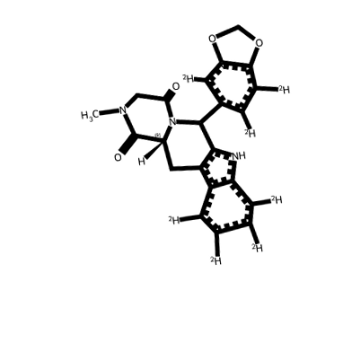 [2H]c1c([2H])c(C2c3[nH]c4c([2H])c([2H])c([2H])c([2H])c4c3C[C@@H]3C(=O)N(C)CC(=O)N23)c([2H])c2c1OCO2